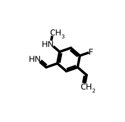 C=Cc1cc(C=N)c(NC)cc1F